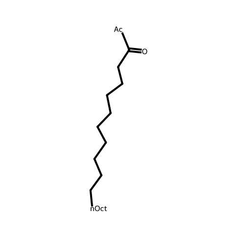 CCCCCCCCCCCCCCCCCC(=O)C(C)=O